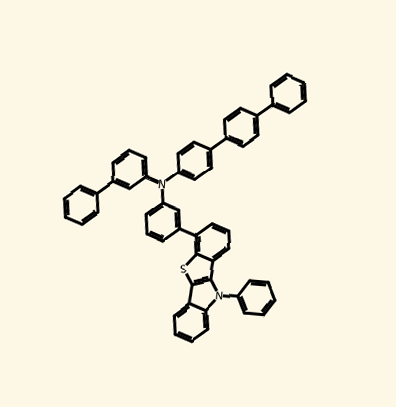 c1ccc(-c2ccc(-c3ccc(N(c4cccc(-c5ccccc5)c4)c4cccc(-c5cccc6c5sc5c7ccccc7n(-c7ccccc7)c65)c4)cc3)cc2)cc1